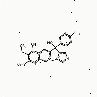 COc1nc2ccc(C(O)(c3ccc(C(F)(F)F)nc3)c3cncn3C)cc2c(C#N)c1CC(F)(F)F